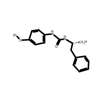 CCOc1ccc(NC(=O)N[C@@H](Cc2ccccc2)C(=O)O)cc1